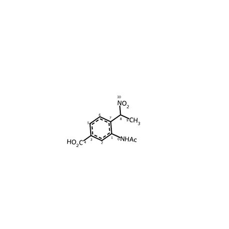 CC(=O)Nc1cc(C(=O)O)ccc1C(C)[N+](=O)[O-]